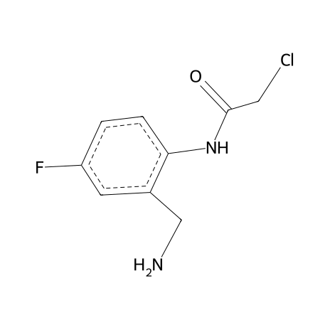 NCc1cc(F)ccc1NC(=O)CCl